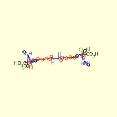 O=C(O)CC(NC(=O)[C@H](Cc1ccc(OCCOCCOCCOC(=O)NCCCCNC(=O)OCCOCCOCCOc2ccc(C[C@H](NC(=O)CCCCNc3ccccn3)C(=O)NC(CC(=O)O)c3cc(Cl)cc(Cl)c3)cc2)cc1)NC(=O)CCCCNc1ccccn1)c1cc(Cl)cc(Cl)c1